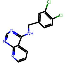 Clc1ccc(CNc2ncnc3ncccc23)cc1Cl